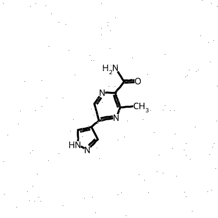 Cc1nc(-c2cn[nH]c2)cnc1C(N)=O